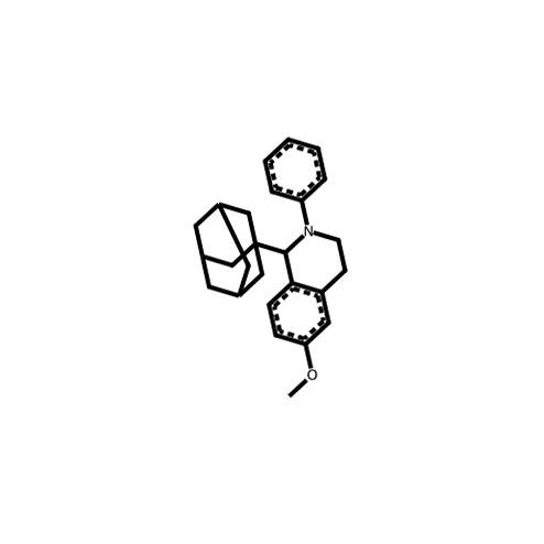 COc1ccc2c(c1)CCN(c1ccccc1)C2C12CC3CC(CC(C3)C1)C2